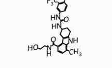 Cc1ccc(C(=O)NCCO)c2c3c([nH]c12)CCC(NC(=O)Nc1ccc(Cl)c(C(F)(F)F)c1)C3